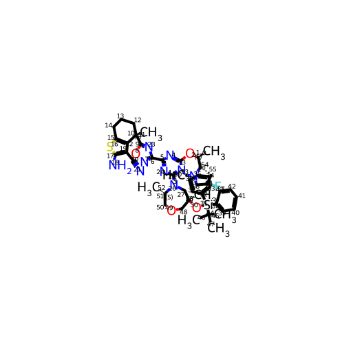 C[C@H](Oc1nc(-c2noc([C@@]3(C)CCCc4sc(N)c(C#N)c43)n2)nc(N2C[C@@](C)(O[Si](c3ccccc3)(c3ccccc3)C(C)(C)C)COC[C@@H]2C)n1)[C@@H]1C[C@@H](F)CN1C